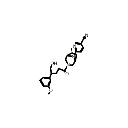 COc1cccc(C(CO)CCC(=O)N2CC3C[C@H](C)C(C2)N3c2ccc(C#N)cn2)c1